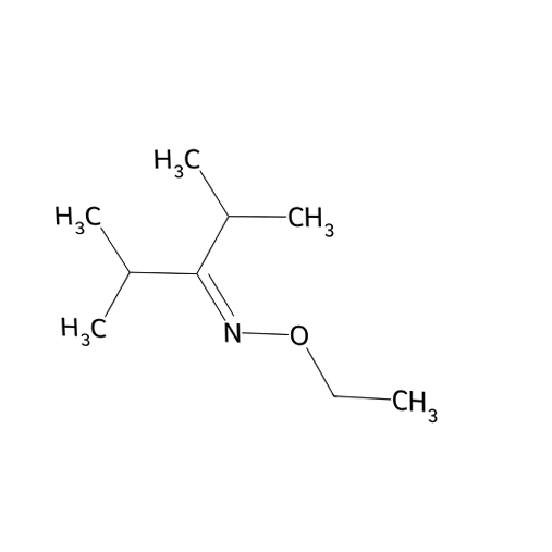 CCON=C(C(C)C)C(C)C